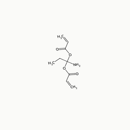 C=CC(=O)OC(N)(CC)OC(=O)C=C